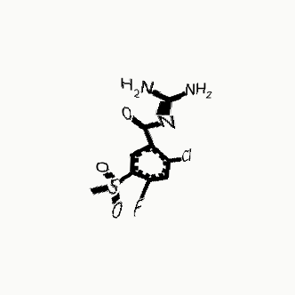 CS(=O)(=O)c1cc(C(=O)N=C(N)N)c(Cl)cc1F